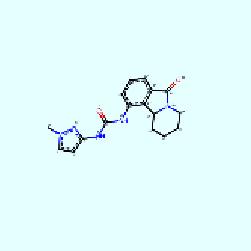 Cn1ccc(NC(=O)Nc2cccc3c2C2CCCCN2C3=O)n1